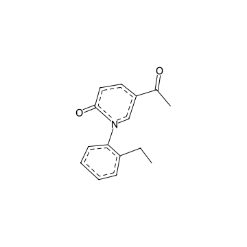 CCc1ccccc1-n1cc(C(C)=O)ccc1=O